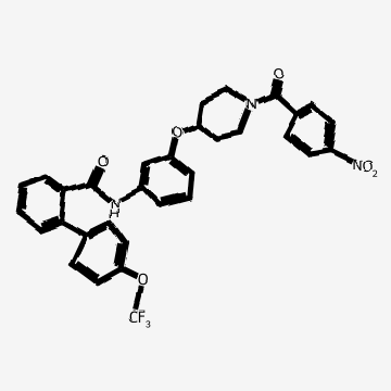 O=C(Nc1cccc(OC2CCN(C(=O)c3ccc([N+](=O)[O-])cc3)CC2)c1)c1ccccc1-c1ccc(OC(F)(F)F)cc1